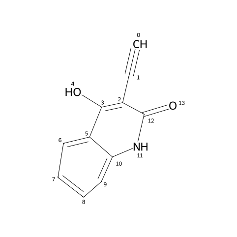 C#Cc1c(O)c2ccccc2[nH]c1=O